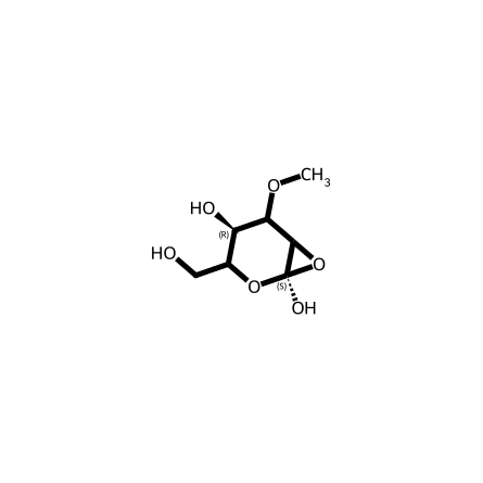 COC1C2O[C@@]2(O)OC(CO)[C@H]1O